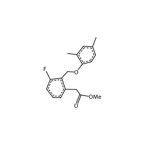 COC(=O)Cc1cccc(F)c1COc1ccc(C)cc1C